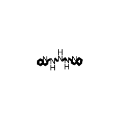 c1ccc2nc(CNCCNCCNCc3ccc4ccccc4n3)ccc2c1